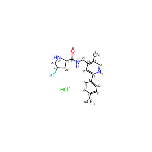 Cl.N#Cc1cnc(-c2ccc(C(F)(F)F)cc2)cc1CNC(=O)[C@H]1C[C@@H](F)CN1